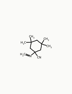 C=NC1(C#N)CC(C)(C)CC(C)(C)C1